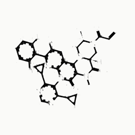 C=CC(=O)N1C[C@@H]2C(=O)N(C)c3c(c4cc(Cl)c(-c5c(O)cccc5F)nc4n(-c4c(C5CC5)ncnc4C4CC4)c3=O)N2C[C@H]1C